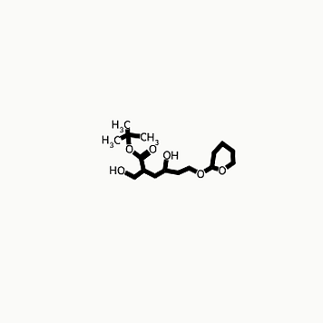 CC(C)(C)OC(=O)C(CO)CC(O)CCOC1CCCCO1